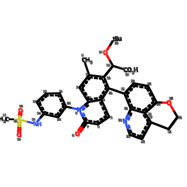 Cc1cc2c(ccc(=O)n2-c2cccc(NS(C)(=O)=O)c2)c(-c2ccc3c4c(ccnc24)CCO3)c1C(OC(C)(C)C)C(=O)O